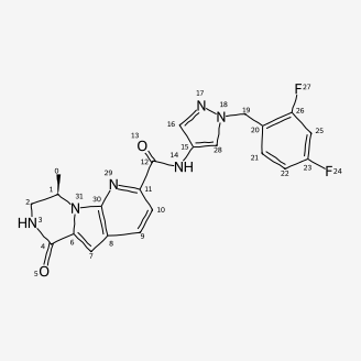 C[C@@H]1CNC(=O)c2cc3ccc(C(=O)Nc4cnn(Cc5ccc(F)cc5F)c4)nc3n21